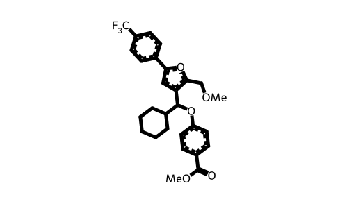 COCc1oc(-c2ccc(C(F)(F)F)cc2)cc1C(Oc1ccc(C(=O)OC)cc1)C1CCCCC1